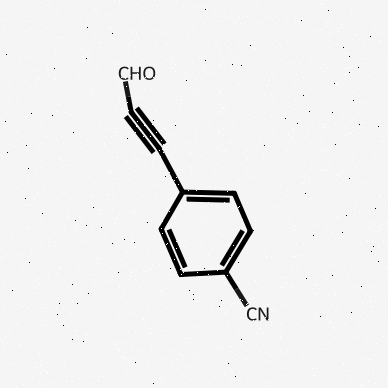 N#Cc1ccc(C#CC=O)cc1